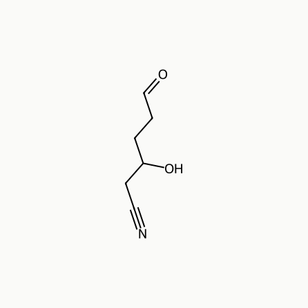 N#CCC(O)CCC=O